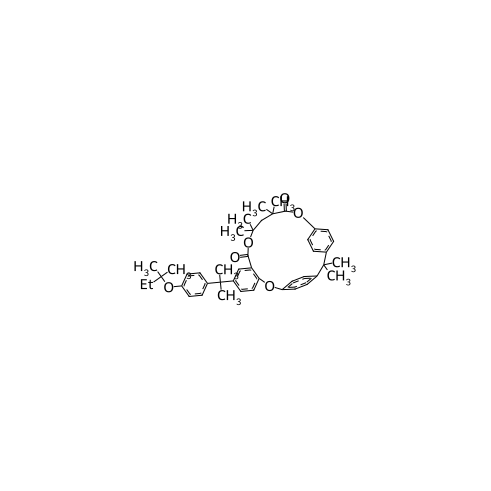 CCC(C)(C)Oc1ccc(C(C)(C)c2ccc3c(c2)C(=O)OC(C)(C)CC(C)(C)C(=O)Oc2ccc(cc2)C(C)(C)c2ccc(cc2)O3)cc1